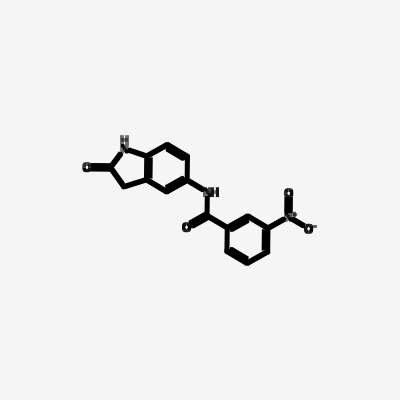 O=C1Cc2cc(NC(=O)c3cccc([N+](=O)[O-])c3)ccc2N1